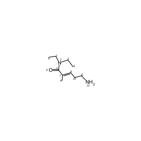 CCN(CC)C(=O)C(C)=CCCN